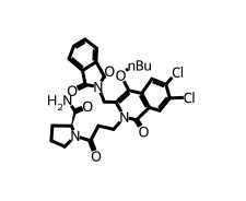 CCCCOc1c(CN2C(=O)c3ccccc3C2=O)n(CCC(=O)N2CCC[C@H]2C(N)=O)c(=O)c2cc(Cl)c(Cl)cc12